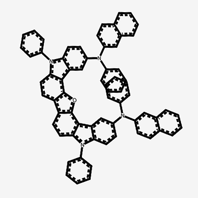 c1ccc(N(c2ccc3ccccc3c2)c2ccc3c(c2)c2c4oc5c(ccc6c5c5cc(N(c7ccccc7)c7ccc8ccccc8c7)ccc5n6-c5ccccc5)c4ccc2n3-c2ccccc2)cc1